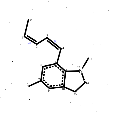 C/C=C\C=C/c1cc(C)cc2c1N(C)CC2